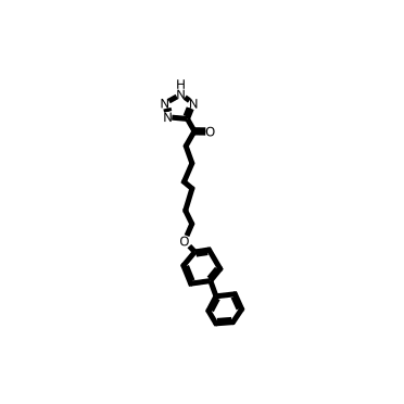 O=C(CCCCCCOc1ccc(-c2ccccc2)cc1)c1nn[nH]n1